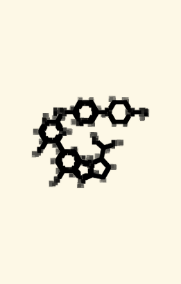 CCN1CCN(c2ccc(Nc3ncc(F)c(-c4cc(F)c5nc6n(c5c4)C(C(F)F)CC6)n3)nc2)CC1